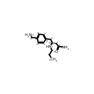 CCCN[C@H](CC(N)=O)Cc1ccc(CN)cc1